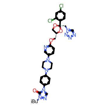 CCC(C)n1ncn(-c2ccc(N3CCN(c4ccc(OC[C@@H]5CO[C@@](Cn6cnnn6)(c6ccc(Cl)cc6Cl)O5)nc4)CC3)cc2)c1=O